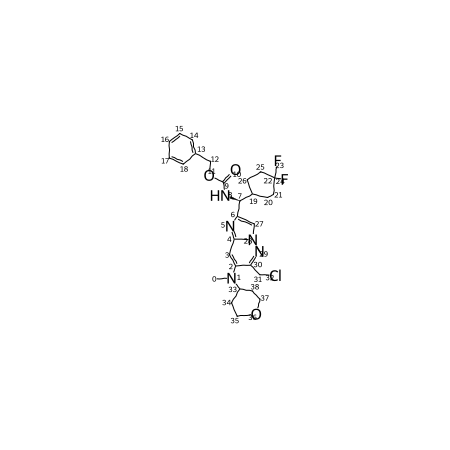 CN(c1cc2nc([C@@H](NC(=O)OCc3ccccc3)C3CCC(F)(F)CC3)cn2nc1CCl)C1CCOCC1